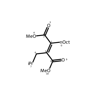 CCCCCCCCC(C(=O)OC)=C(CC(C)C)C(=O)OC